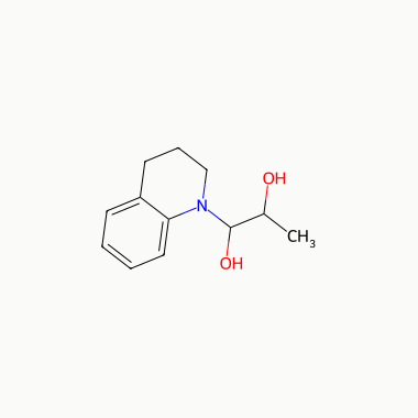 CC(O)C(O)N1CCCc2ccccc21